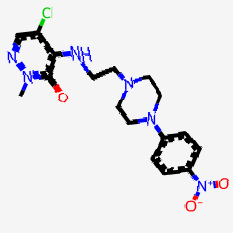 Cn1ncc(Cl)c(NCCN2CCN(c3ccc([N+](=O)[O-])cc3)CC2)c1=O